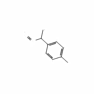 [CH2]c1ccc(C(C)[S+]=O)cc1